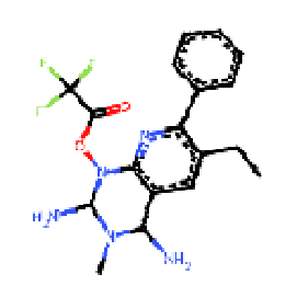 CCc1cc2c(nc1-c1ccccc1)N(OC(=O)C(F)(F)F)C(N)N(C)C2N